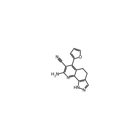 N#Cc1c(N)nc2c(c1-c1ccco1)CCc1cn[nH]c1-2